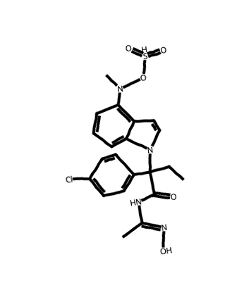 CCC(C(=O)NC(C)=NO)(c1ccc(Cl)cc1)n1ccc2c(N(C)O[SH](=O)=O)cccc21